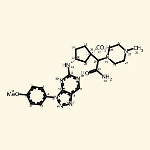 COc1ccc(-n2nnc3cnc(N[C@@H]4CC[C@@](C(=O)O)(C(C(N)=O)N5CCN(C)CC5)C4)nc32)cc1